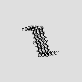 CCCCCCCCCCCCCCCCCCCCCC(=O)[O-].CCCCCCCCCCCCCCCCCCCCCC(=O)[O-].CCCCCCCCCCCCCCCCCCCCCC(=O)[O-].CCCCCCCCCCCCCCCCCCCCCC(=O)[O-].[Ce+4]